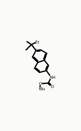 CCC(C)(C)c1ccc2cc(NC(=O)OC(C)(C)C)ccc2c1